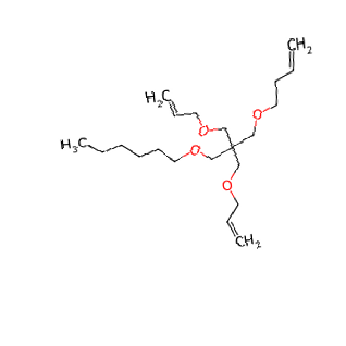 C=CCCOCC(COCC=C)(COCC=C)COCCCCCC